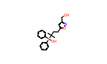 CC(C)(CCc1cc(CO)no1)[Si](O)(c1ccccc1)c1ccccc1